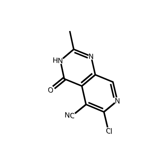 Cc1nc2cnc(Cl)c(C#N)c2c(=O)[nH]1